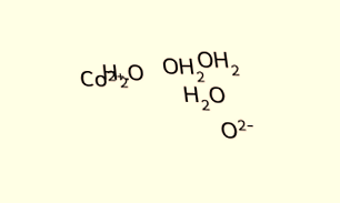 O.O.O.O.[Co+2].[O-2]